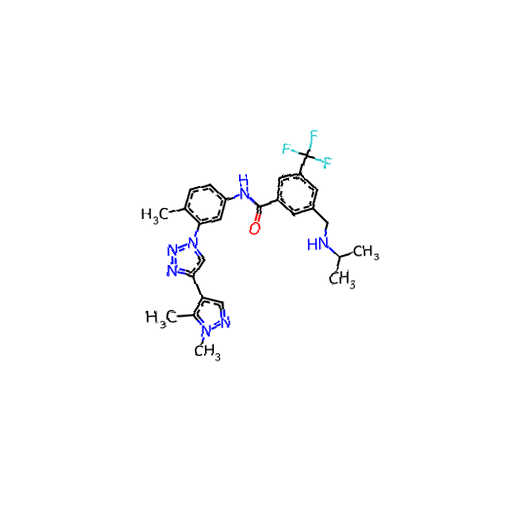 Cc1ccc(NC(=O)c2cc(CNC(C)C)cc(C(F)(F)F)c2)cc1-n1cc(-c2cnn(C)c2C)nn1